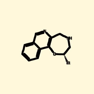 CC[C@H]1CNCc2ncc3ccccc3c2O1